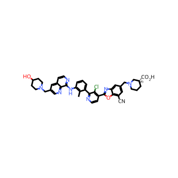 Cc1c(Nc2nccc3cc(CN4CCC(O)CC4)cnc23)cccc1-c1nccc(-c2nc3cc(CN4CCC[C@@H](C(=O)O)C4)cc(C#N)c3o2)c1Cl